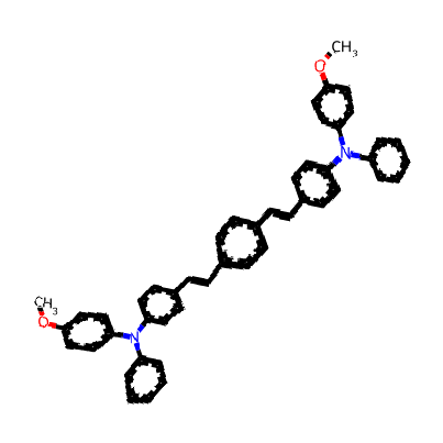 COc1ccc(N(c2ccccc2)c2ccc(/C=C/c3ccc(/C=C/c4ccc(N(c5ccccc5)c5ccc(OC)cc5)cc4)cc3)cc2)cc1